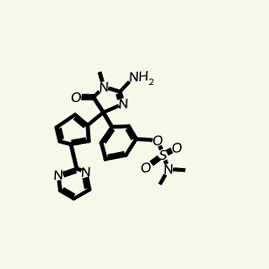 CN1C(=O)C(c2cccc(OS(=O)(=O)N(C)C)c2)(c2cccc(-c3ncccn3)c2)N=C1N